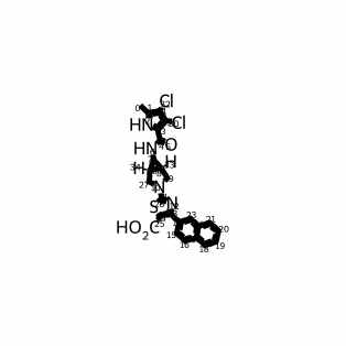 Cc1[nH]c(C(=O)NC2[C@H]3CN(c4nc(-c5ccc6ccccc6c5)c(C(=O)O)s4)C[C@@H]23)c(Cl)c1Cl